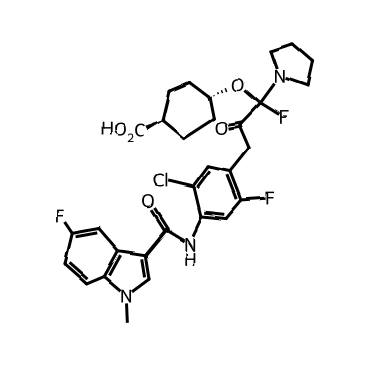 Cn1cc(C(=O)Nc2cc(F)c(CC(=O)C(F)(O[C@H]3CC[C@H](C(=O)O)CC3)N3CCCC3)cc2Cl)c2cc(F)ccc21